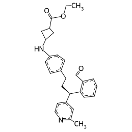 CCOC(=O)C1CC(Nc2ccc(CC[C@H](c3ccnc(C)c3)c3ccccc3C=O)cc2)C1